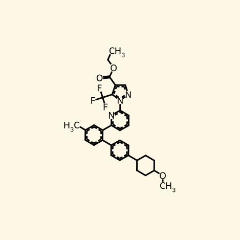 CCOC(=O)c1cnn(-c2cccc(-c3cc(C)ccc3-c3ccc(C4CCC(OC)CC4)cc3)n2)c1C(F)(F)F